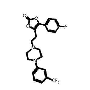 O=c1oc(CCN2CCN(c3cccc(C(F)(F)F)c3)CC2)c(-c2ccc(F)cc2)o1